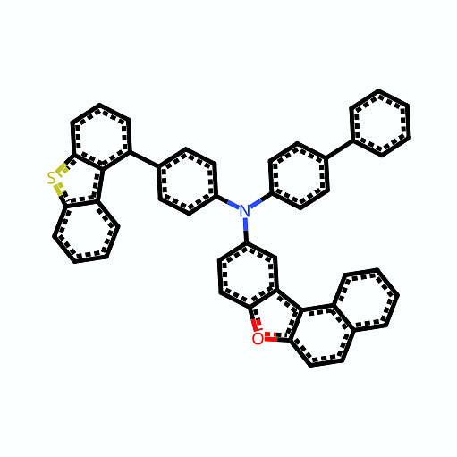 c1ccc(-c2ccc(N(c3ccc(-c4cccc5sc6ccccc6c45)cc3)c3ccc4oc5ccc6ccccc6c5c4c3)cc2)cc1